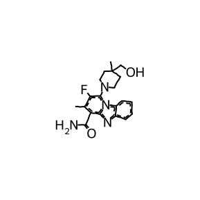 Cc1c(F)c(N2CCC(C)(CO)CC2)n2c(nc3ccccc32)c1C(N)=O